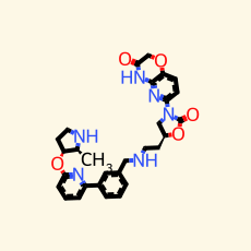 C[C@@H]1NCC[C@@H]1Oc1cccc(-c2cccc(CNCC[C@H]3CN(c4ccc5c(n4)NC(=O)CO5)C(=O)O3)c2)n1